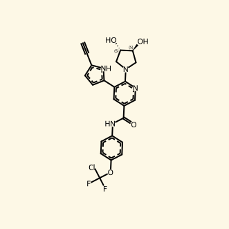 C#Cc1ccc(-c2cc(C(=O)Nc3ccc(OC(F)(F)Cl)cc3)cnc2N2C[C@H](O)[C@@H](O)C2)[nH]1